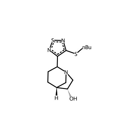 CCCCSc1nsnc1C1CC[C@@H]2CN1C[C@@H]2O